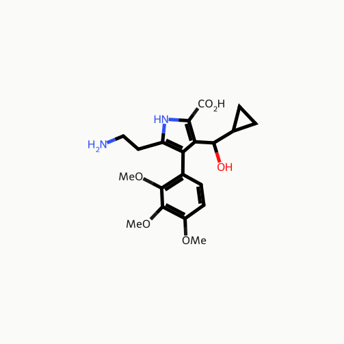 COc1ccc(-c2c(CCN)[nH]c(C(=O)O)c2C(O)C2CC2)c(OC)c1OC